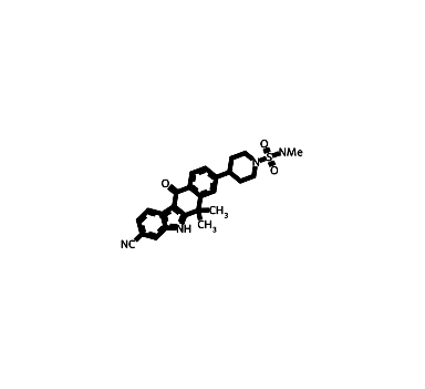 CNS(=O)(=O)N1CCC(c2ccc3c(c2)C(C)(C)c2[nH]c4cc(C#N)ccc4c2C3=O)CC1